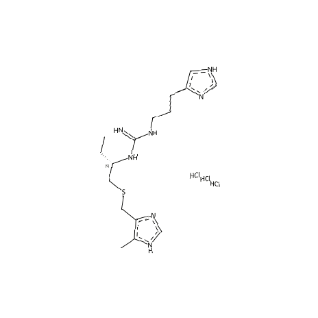 CC[C@@H](CSCc1nc[nH]c1C)NC(=N)NCCCc1c[nH]cn1.Cl.Cl.Cl